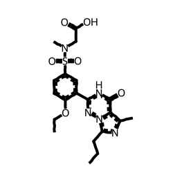 CCCc1nc(C)c2c(=O)[nH]c(-c3cc(S(=O)(=O)N(C)CC(=O)O)ccc3OCC)nn12